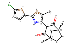 CCc1sc(-c2ccc(Cl)s2)nc1C1C(=O)[C@@H]2CC[C@@H](C2)C1=O